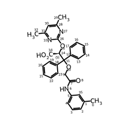 Cc1cccc(NC(=O)COC(c2ccccc2)(c2ccccc2)[C@H](Oc2nc(C)cc(C)n2)C(=O)O)c1